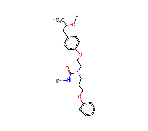 CCOC(Cc1ccc(OCCN(CCCOc2ccccc2)C(=O)NC(C)C)cc1)C(=O)O